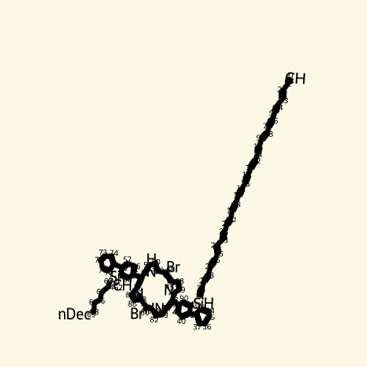 C#CC#CC#CC#CC#CC#CC#CC#CC#CC#CC#CC#CC#CC#CC#CC#C[SiH]1c2ccccc2-c2ccc(-c3c4nc(c(Br)c5ccc([nH]5)c(-c5ccc6c(c5)[Si](C)(CCCCCCCCCCCCCCCC)c5ccccc5-6)c5nc(c(Br)c6ccc3[nH]6)C=C5)C=C4)cc21